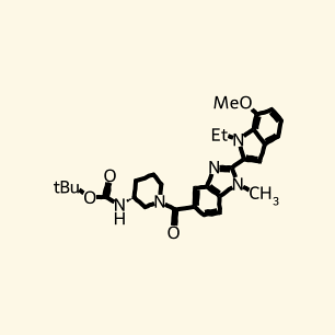 CCn1c(-c2nc3cc(C(=O)N4CCC[C@@H](NC(=O)OC(C)(C)C)C4)ccc3n2C)cc2cccc(OC)c21